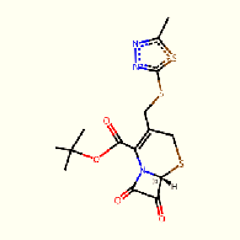 Cc1nnc(SCC2=C(C(=O)OC(C)(C)C)N3C(=O)C(=O)[C@H]3SC2)s1